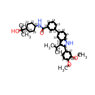 COc1ccc(-c2[nH]c3ccc(-c4cccc(C(=O)NC5CCC(C(C)(C)O)CC5)c4)cc3c2C(C)C)cc1OC